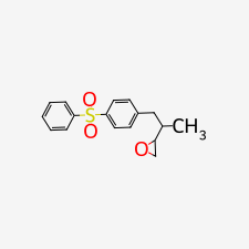 CC(Cc1ccc(S(=O)(=O)c2ccccc2)cc1)C1CO1